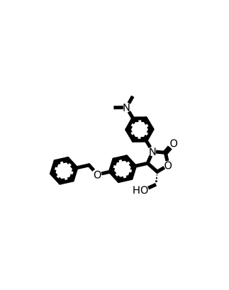 CN(C)c1ccc(N2C(=O)O[C@H](CO)C2c2ccc(OCc3ccccc3)cc2)cc1